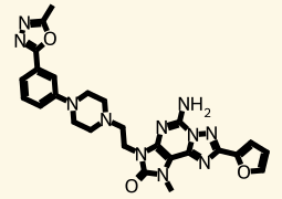 Cc1nnc(-c2cccc(N3CCN(CCn4c(=O)n(C)c5c4nc(N)n4nc(-c6ccco6)nc54)CC3)c2)o1